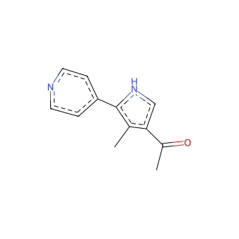 CC(=O)c1c[nH]c(-c2ccncc2)c1C